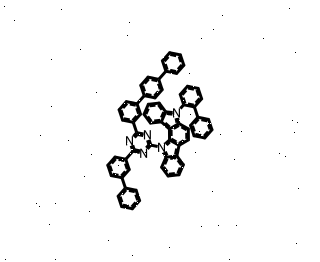 c1ccc(-c2ccc(-c3cccc(-c4nc(-c5cccc(-c6ccccc6)c5)nc(-n5c6ccccc6c6ccc7c(c8ccccc8n7-c7ccccc7-c7ccccc7)c65)n4)c3)cc2)cc1